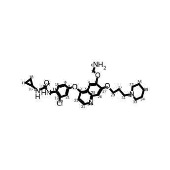 NCOc1cc2c(Oc3ccc(NC(=O)NC4CC4)c(Cl)c3)ccnc2cc1OCCCN1CCCCC1